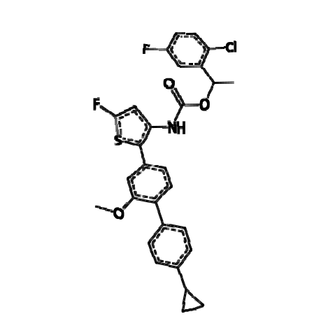 COc1cc(-c2sc(F)cc2NC(=O)OC(C)c2cc(F)ccc2Cl)ccc1-c1ccc(C2CC2)cc1